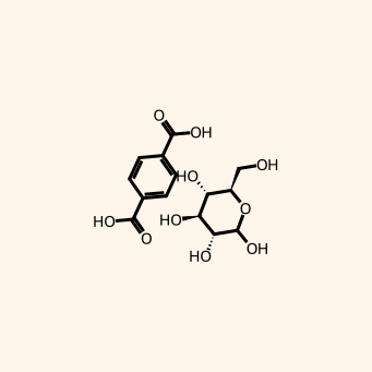 O=C(O)c1ccc(C(=O)O)cc1.OC[C@H]1OC(O)[C@H](O)[C@@H](O)[C@@H]1O